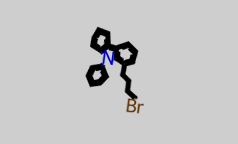 BrCCCCc1cccc2c3ccccc3n(-c3ccccc3)c12